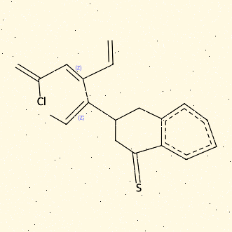 C=CC(=C/C(=C)Cl)/C(=C\C)C1CC(=S)c2ccccc2C1